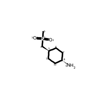 CS(=O)(=O)C[C@H]1CC[C@H](N)CC1